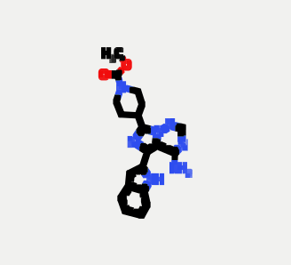 COC(=O)N1CCC(c2nc(-c3cc4ccccc4[nH]3)c3c(N)ncnn23)CC1